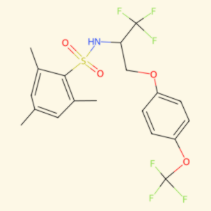 Cc1cc(C)c(S(=O)(=O)NC(COc2ccc(OC(F)(F)F)cc2)C(F)(F)F)c(C)c1